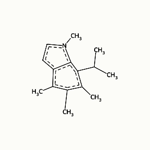 Cc1c(C)c(C(C)C)c2c(ccn2C)c1C